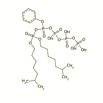 CC(C)CCCCCOP(=O)(OCCCCCC(C)C)OP(=O)(Oc1ccccc1)OP(=O)(O)OP(=O)(O)OP(=O)(O)O